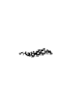 C=CCCCOCc1ccc(-c2ccc(C3CCC(C/C=C/C)CC3)cc2)cc1